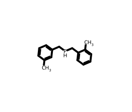 Cc1cccc(CPCc2ccccc2C)c1